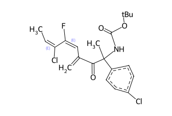 C=C(/C=C(F)\C(Cl)=C/C)C(=O)C(C)(NC(=O)OC(C)(C)C)c1ccc(Cl)cc1